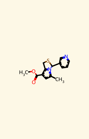 COC(=O)c1cc(C)n2c1CSC2c1cccnc1